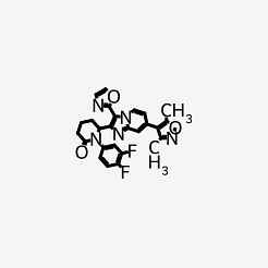 Cc1noc(C)c1-c1ccn2c(-c3ncco3)c(C3CCCC(=O)N3c3ccc(F)c(F)c3)nc2c1